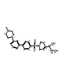 CN1CCN(c2cccc(-c3ccc(S(=O)(=O)N4CC=C(C(O)NO)CC4)cc3)c2)CC1